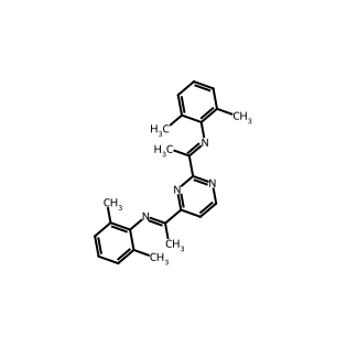 C/C(=N\c1c(C)cccc1C)c1ccnc(/C(C)=N/c2c(C)cccc2C)n1